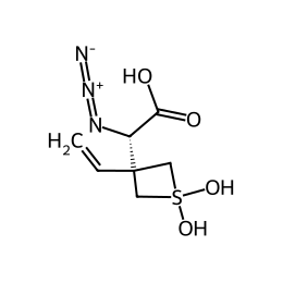 C=CC1([C@H](N=[N+]=[N-])C(=O)O)CS(O)(O)C1